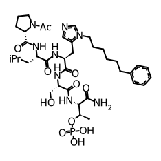 CC(=O)N1CCC[C@H]1C(=O)N[C@@H](CC(C)C)C(=O)N[C@@H](Cc1cncn1CCCCCCc1ccccc1)C(=O)N[C@@H](CO)C(=O)N[C@H](C(N)=O)[C@@H](C)OP(=O)(O)O